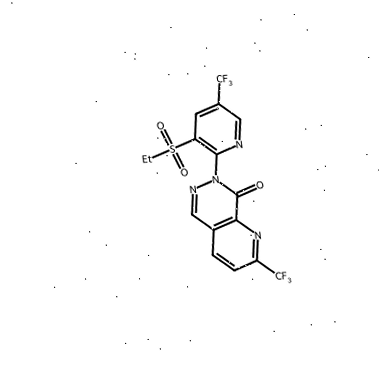 CCS(=O)(=O)c1cc(C(F)(F)F)cnc1-n1ncc2ccc(C(F)(F)F)nc2c1=O